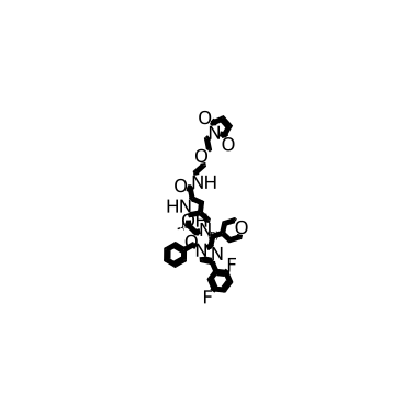 C[C@H](O)C(=O)N(CC1CNC(C(=O)NCCOCCN2C(=O)C=CC2=O)C1)[C@@H](c1nc(-c2cc(F)ccc2F)cn1Cc1ccccc1)C1CCOCC1